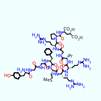 CSCC[C@H](NC(=O)[C@H](Cc1ccccc1)NC(=O)CNC(=O)CNC(=O)[C@@H](N)Cc1ccc(O)cc1)C(=O)N[C@@H](CCCN=C(N)N)C(=O)N[C@@H](CCCN=C(N)N)C(=O)N[C@H](C(=O)NCC(=O)N[C@@H](CCCN=C(N)N)C(=O)N1CCC[C@H]1C(=O)N[C@@H](CCC(=O)O)C(=O)O)C(C)C